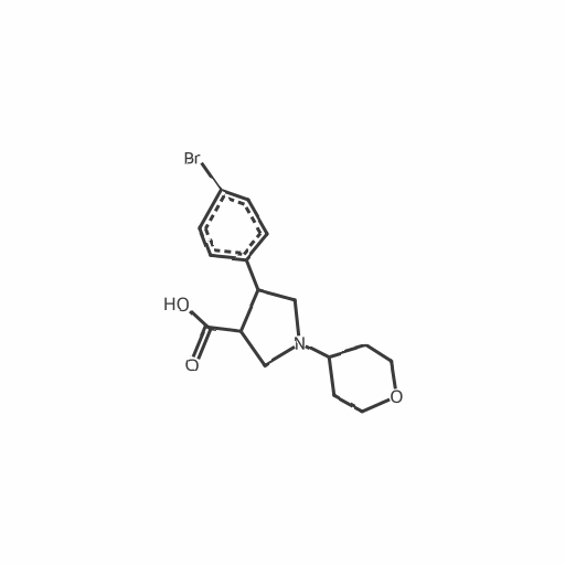 O=C(O)C1CN(C2CCOCC2)CC1c1ccc(Br)cc1